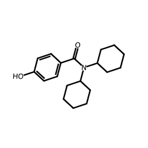 O=C(c1ccc(O)cc1)N(C1CCCCC1)C1CCCCC1